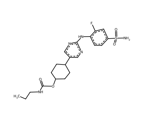 CCCNC(=O)OC1CCC(c2cnc(Nc3ccc(S(N)(=O)=O)cc3F)nc2)CC1